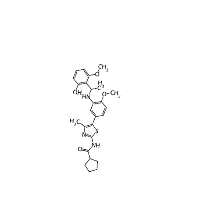 COc1ccc(-c2sc(NC(=O)C3CCCC3)nc2C)cc1NC(C)c1c(O)cccc1OC